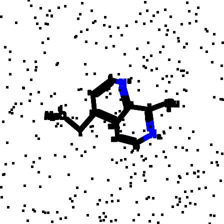 COCc1ccnc2c(C(C)(C)C)nccc12